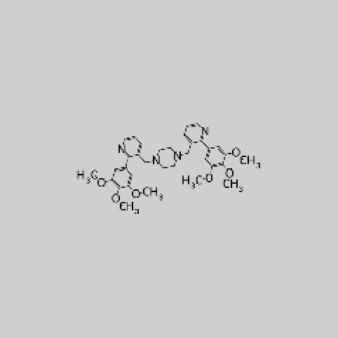 COc1cc(-c2ncccc2CN2CCN(Cc3cccnc3-c3cc(OC)c(OC)c(OC)c3)CC2)cc(OC)c1OC